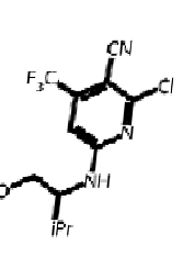 CC(C)C(CO)Nc1cc(C(F)(F)F)c(C#N)c(Cl)n1